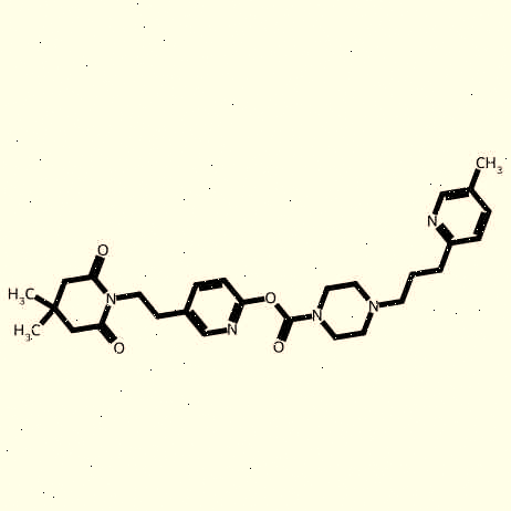 Cc1ccc(CCCN2CCN(C(=O)Oc3ccc(CCN4C(=O)CC(C)(C)CC4=O)cn3)CC2)nc1